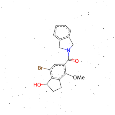 COc1c(C(=O)N2Cc3ccccc3C2)cc(Br)c2c1CCC2O